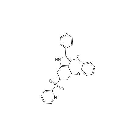 O=C1CN(S(=O)(=O)c2ccccn2)Cc2[nH]c(-c3ccncc3)c(Nc3ccccc3)c21